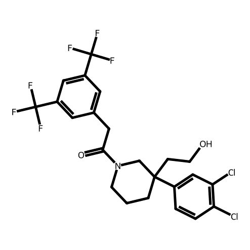 O=C(Cc1cc(C(F)(F)F)cc(C(F)(F)F)c1)N1CCCC(CCO)(c2ccc(Cl)c(Cl)c2)C1